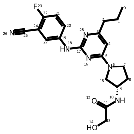 CCCc1cc(N2CC[C@H](NC(=O)CO)C2)nc(Nc2ccc(F)c(C#N)c2)n1